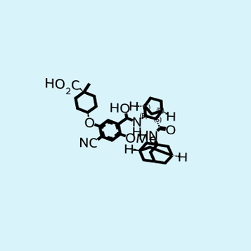 COc1cc(C#N)c(O[C@H]2CC[C@@](C)(C(=O)O)CC2)cc1C(O)N[C@@H]1[C@H]2CC[C@H](C2)[C@@H]1C(=O)NC12CC3C[C@H](C1)C[C@H](C3)C2